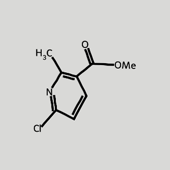 COC(=O)c1ccc(Cl)nc1C